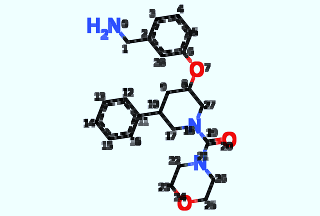 NCc1cccc(OC2CC(c3ccccc3)CN(C(=O)N3CCOCC3)C2)c1